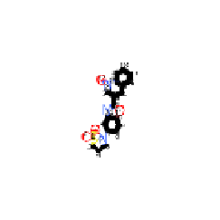 O=S1(=O)CCCN1c1ccc2oc(-c3cc4ccccc4[n+]([O-])c3)nc2c1